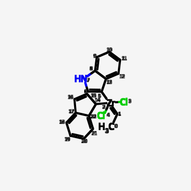 C[CH]=[Zr]([Cl])([Cl])([c]1c[nH]c2ccccc12)[CH]1C=Cc2ccccc21